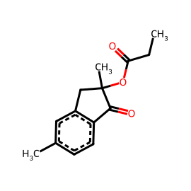 CCC(=O)OC1(C)Cc2cc(C)ccc2C1=O